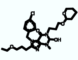 CCOCCCc1nc2c(n1Cc1ccc(Cl)cc1)C(=O)N(CCCOC1CCCCO1)C(O)N2C